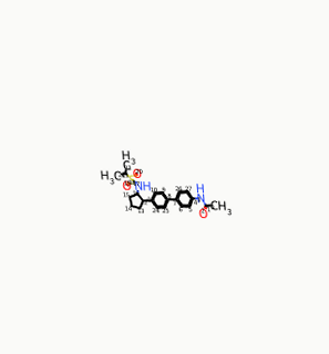 CC(=O)Nc1ccc(-c2ccc(C3CCCC3NS(=O)(=O)C(C)C)cc2)cc1